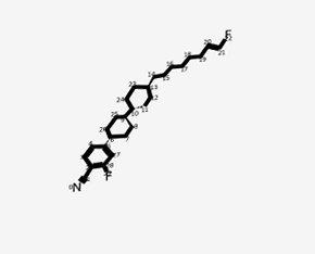 N#Cc1ccc([C@H]2CC[C@H]([C@H]3CC[C@H](CCCCCC/C=C/F)CC3)CC2)cc1F